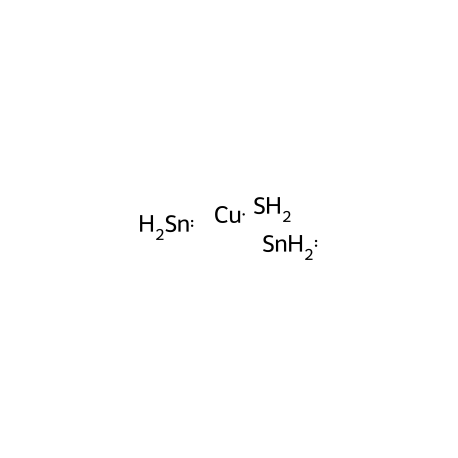 S.[Cu].[SnH2].[SnH2]